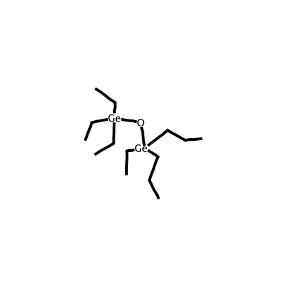 CC[CH2][Ge]([CH2]C)([CH2]CC)[O][Ge]([CH2]C)([CH2]C)[CH2]C